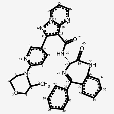 CC1COCCN1c1ccc(-c2nn3cccnc3c2C(=O)N[C@H]2N=C(c3ccccc3)c3ccccc3NC2=O)cn1